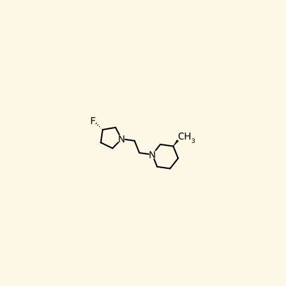 C[C@H]1CCCN(CCN2CC[C@H](F)C2)C1